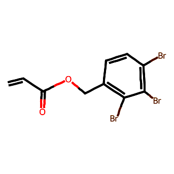 C=CC(=O)OCc1ccc(Br)c(Br)c1Br